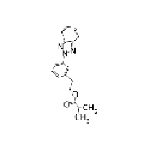 C=C(C)C(=O)OCCc1cccc(-n2nc3ccccc3n2)c1